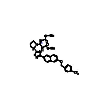 CC(C)(C)OC(=O)/N=C(\NC(=O)OC(C)(C)C)N1CCC[C@H]1c1nc(-c2ccc3cc(OCc4ccc(C(F)(F)F)cc4)ccc3c2)no1